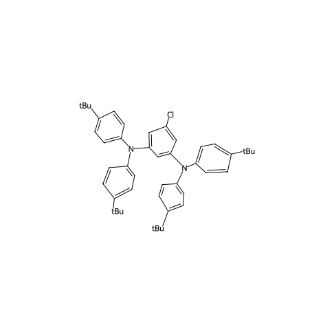 CC(C)(C)c1ccc(N(c2ccc(C(C)(C)C)cc2)c2cc(Cl)cc(N(c3ccc(C(C)(C)C)cc3)c3ccc(C(C)(C)C)cc3)c2)cc1